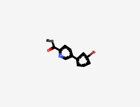 COC(=O)c1ccc(-c2cccc(Br)c2)cn1